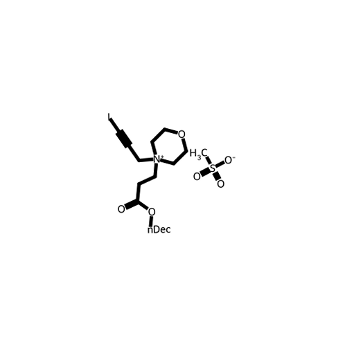 CCCCCCCCCCOC(=O)CC[N+]1(CC#CI)CCOCC1.CS(=O)(=O)[O-]